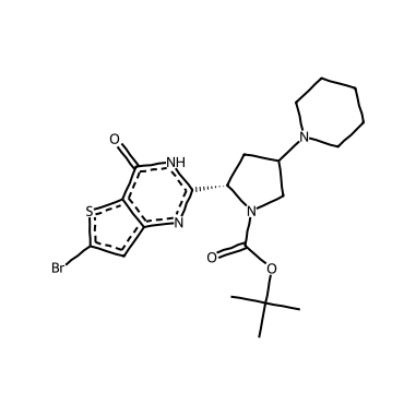 CC(C)(C)OC(=O)N1CC(N2CCCCC2)C[C@H]1c1nc2cc(Br)sc2c(=O)[nH]1